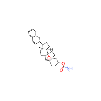 CNC(=O)OC1CCC2=CC3=CC[C@]4(C)[C@@H](c5ccc6ccccc6c5)CC[C@H]4C34CC[C@]2(C1)O4